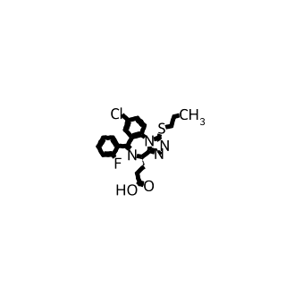 CCCSc1nnc2n1-c1ccc(Cl)cc1C(c1ccccc1F)=N[C@H]2CCC(=O)O